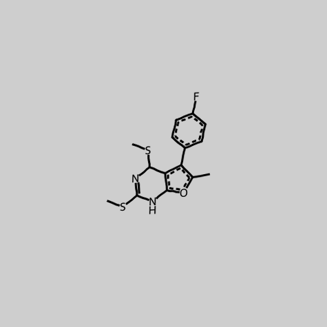 CSC1=NC(SC)c2c(oc(C)c2-c2ccc(F)cc2)N1